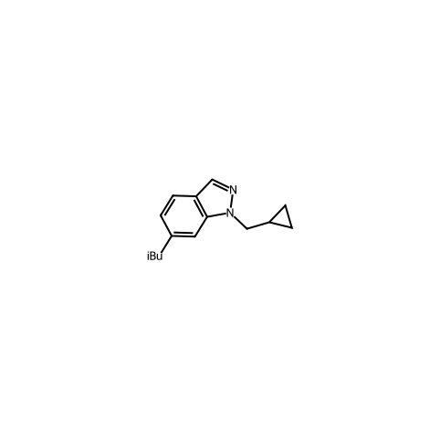 CCC(C)c1ccc2cnn(CC3CC3)c2c1